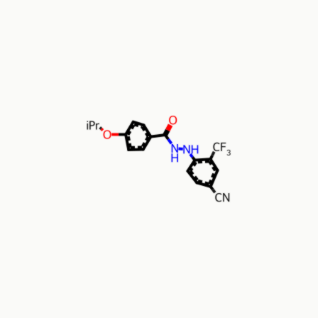 CC(C)Oc1ccc(C(=O)NNc2ccc(C#N)cc2C(F)(F)F)cc1